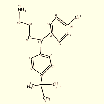 CC(C)(C)c1ccc(B(OCCN)c2ccc(Cl)cc2)cc1